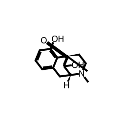 CN1CC[C@]23CC(=O)CCC2(O)[C@H]1Cc1cccc(O)c13